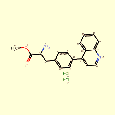 COC(=O)[C@@H](N)Cc1ccc(-c2ccnc3ccccc23)cc1.Cl.Cl